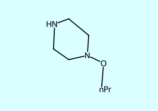 CCCON1CCNCC1